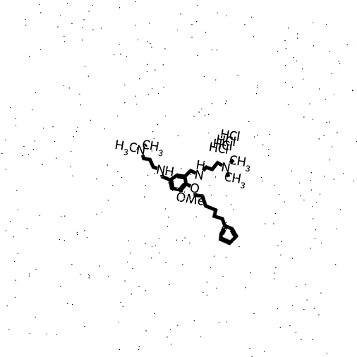 COc1cc(CNCCCN(C)C)cc(CNCCCN(C)C)c1OCCCCCCc1ccccc1.Cl.Cl.Cl.Cl